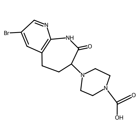 O=C1Nc2ncc(Br)cc2CCC1N1CCN(C(=O)O)CC1